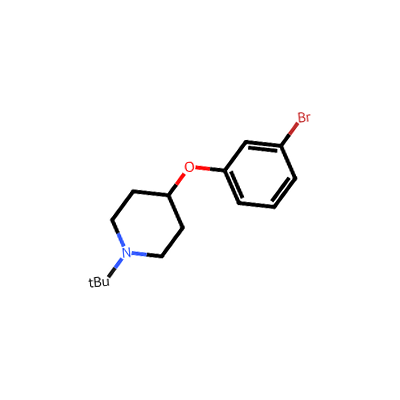 CC(C)(C)N1CCC(Oc2cccc(Br)c2)CC1